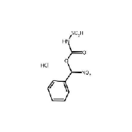 Cl.O=C(NS(=O)(=O)O)OC(c1ccccc1)[N+](=O)[O-]